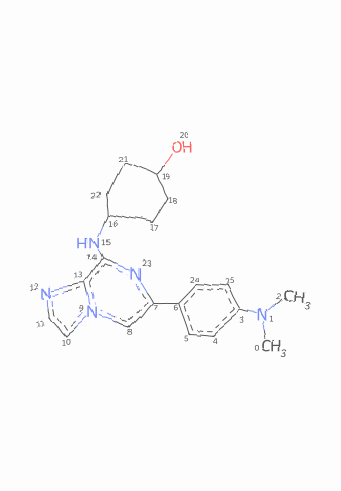 CN(C)c1ccc(-c2cn3ccnc3c(NC3CCC(O)CC3)n2)cc1